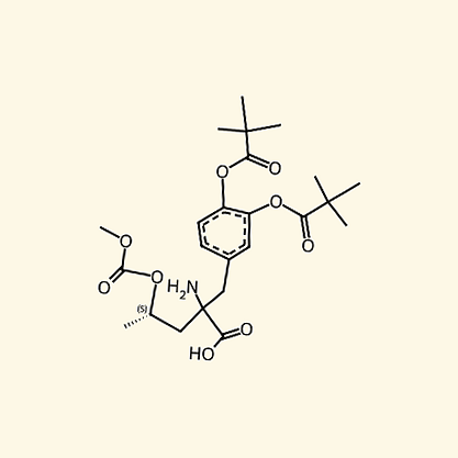 COC(=O)O[C@@H](C)CC(N)(Cc1ccc(OC(=O)C(C)(C)C)c(OC(=O)C(C)(C)C)c1)C(=O)O